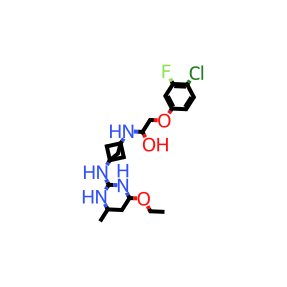 CCOC1CC(C)NC(NC23CC(NC(O)COc4ccc(Cl)c(F)c4)(C2)C3)N1